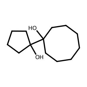 OC1(C2(O)CCCC2)CCCCCCC1